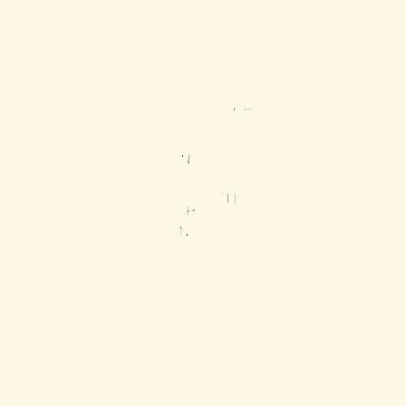 CC1C=CC(N2c3ccc(N(C4=CC=CC5OC6CCC=CC6C45)c4cccc5c4C(C)(C)C4CCCC=C54)cc3C3C=CCCC32)CC1